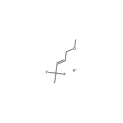 COC/C=C/[B-](F)(F)F.[K+]